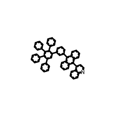 c1ccc(-c2cc(-c3cccc(-c4c5ccccc5c(-c5ccnc6ccccc56)c5ccccc45)c3)c(-c3ccccc3)c(-c3ccccc3)c2-c2ccccc2)cc1